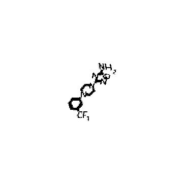 Nc1nc(N2CCN(c3cccc(C(F)(F)F)c3)CC2)no1